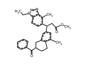 CCn1nnc2c(C)c(C(CC(=O)OC)c3cc(C)c4c(c3)CN(C(=O)c3ccccc3)CC4)ccc21